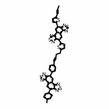 CC#Cc1ccc(-c2cc3c(cc(-c4ccc(CCC#Cc5ccc(-c6cc7c(cc(-c8ccc(C)cc8)c8nsnc87)c7nsnc67)cc5)s4)c4nsnc43)c3nsnc23)s1